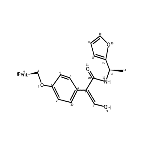 CCC[C@H](C)COc1ccc(C(=CO)C(=O)N[C@H](C)c2ccco2)cc1